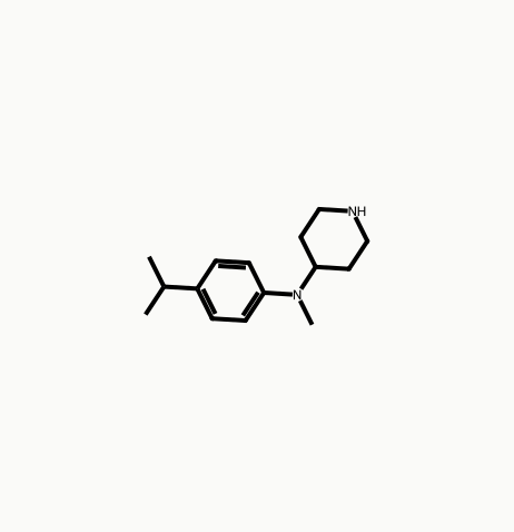 CC(C)c1ccc(N(C)C2CCNCC2)cc1